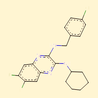 Fc1cc2nc(NCc3ccc(Cl)cc3)c(NC3CCCCC3)nc2cc1F